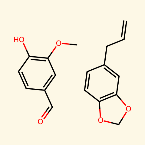 C=CCc1ccc2c(c1)OCO2.COc1cc(C=O)ccc1O